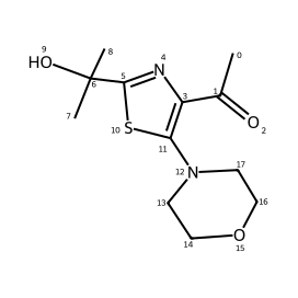 CC(=O)c1nc(C(C)(C)O)sc1N1CCOCC1